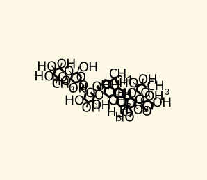 C=C(C)C1CC[C@]2(C(=O)O[C@@H]3O[C@H](CO[C@@H]4O[C@H](CO)[C@@H](O[C@@H]5O[C@@H](C)[C@H](O)[C@@H](O)[C@H]5O)[C@H](O)[C@H]4O)[C@@H](O)[C@H](O)[C@H]3O)CC[C@]3(C)[C@H](CC[C@@H]4[C@@]5(C)CC[C@H](OC6OC[C@H](O)[C@H](O)[C@H]6O[C@@H]6O[C@@H](C)[C@H](O)[C@@H](O)[C@H]6O)[C@@](C)(CO)[C@@H]5CC[C@]43C)[C@@H]12